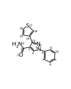 NC(=O)c1cn(-c2ccccc2)nc1-c1ccsc1